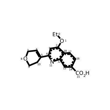 CCOc1cc(C2=CCOCC2)nc2cc(C(=O)O)ccc12